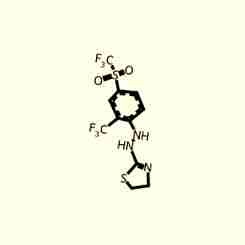 O=S(=O)(c1ccc(NNC2=NCCS2)c(C(F)(F)F)c1)C(F)(F)F